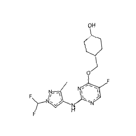 Cc1nn(C(F)F)cc1Nc1ncc(F)c(OCC2CCC(O)CC2)n1